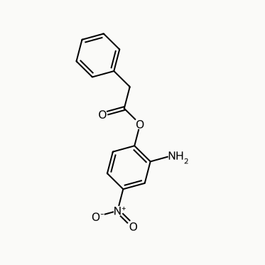 Nc1cc([N+](=O)[O-])ccc1OC(=O)Cc1ccccc1